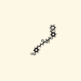 O=C(CCCCc1ccc(O)cc1)NCCCOc1cccc(CN2CCCCC2)c1